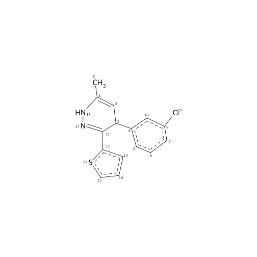 CC1=CC(c2cccc(Cl)c2)C(c2cccs2)=NN1